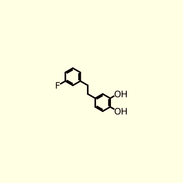 Oc1ccc(CCc2cccc(F)c2)cc1O